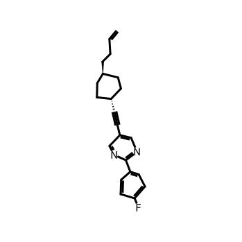 C=CCC[C@H]1CC[C@H](C#Cc2cnc(-c3ccc(F)cc3)nc2)CC1